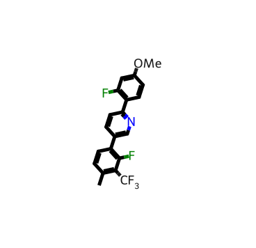 COc1ccc(-c2ccc(-c3ccc(C)c(C(F)(F)F)c3F)cn2)c(F)c1